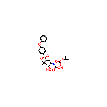 CC(C)(C)OC(=O)ON(C(=O)O)[C@@H](CO)CC(C(C)(C)C)S(=O)(=O)c1ccc(Oc2ccccc2)cc1